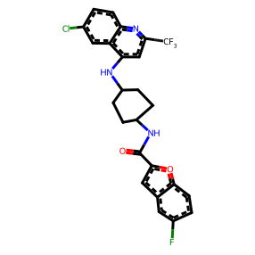 O=C(NC1CCC(Nc2cc(C(F)(F)F)nc3ccc(Cl)cc23)CC1)c1cc2cc(F)ccc2o1